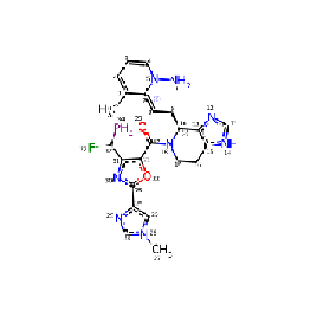 CC1=CC=CN(N)/C1=C\C[C@H]1c2nc[nH]c2CCN1C(=O)c1oc(-c2cn(C)cn2)nc1C(F)P